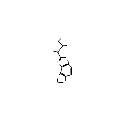 COCC(N)C(N)c1nc2c3c(ccc2s1)OCO3